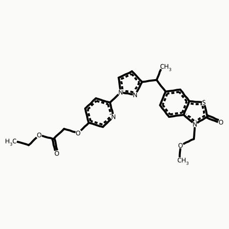 CCOC(=O)COc1ccc(-n2ccc(C(C)c3ccc4c(c3)sc(=O)n4COC)n2)nc1